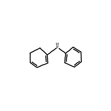 C1=CCCC(Pc2ccccc2)=C1